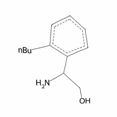 CCCCc1ccccc1C(N)CO